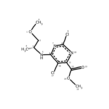 COC[C@@H](C)Nc1nc(Cl)nc(C(=O)OC)c1Cl